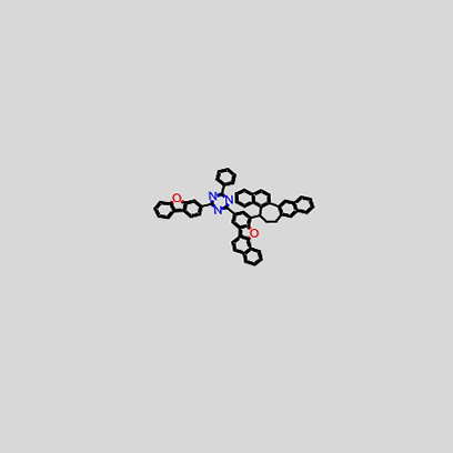 c1ccc(-c2nc(-c3ccc4c(c3)oc3ccccc34)nc(-c3cc(C4CCc5cc6ccccc6cc5-c5ccc6ccccc6c54)c4oc5c6ccccc6ccc5c4c3)n2)cc1